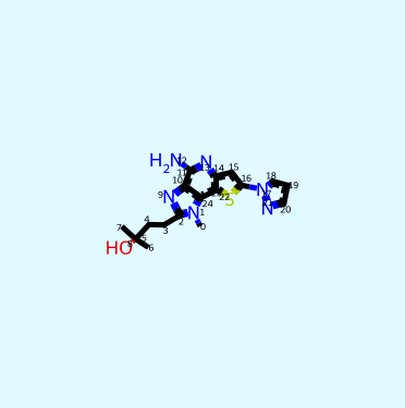 Cn1c(CCC(C)(C)O)nc2c(N)nc3cc(-n4cccn4)sc3c21